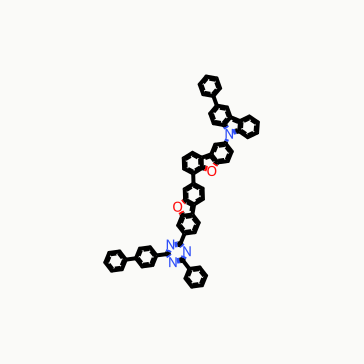 c1ccc(-c2ccc(-c3nc(-c4ccccc4)nc(-c4ccc5c(c4)oc4cc(-c6cccc7c6oc6ccc(-n8c9ccccc9c9cc(-c%10ccccc%10)ccc98)cc67)ccc45)n3)cc2)cc1